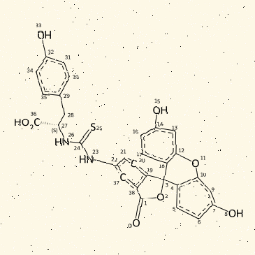 O=C1OC2(c3ccc(O)cc3Oc3cc(O)ccc32)c2ccc(NC(=S)N[C@@H](Cc3ccc(O)cc3)C(=O)O)cc21